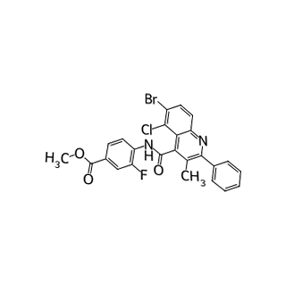 COC(=O)c1ccc(NC(=O)c2c(C)c(-c3ccccc3)nc3ccc(Br)c(Cl)c23)c(F)c1